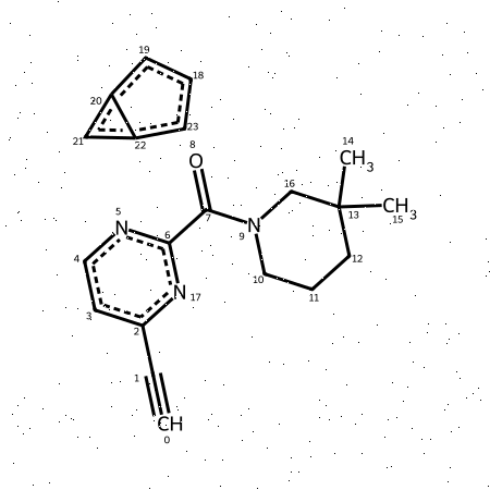 C#Cc1ccnc(C(=O)N2CCCC(C)(C)C2)n1.c1cc2cc-2c1